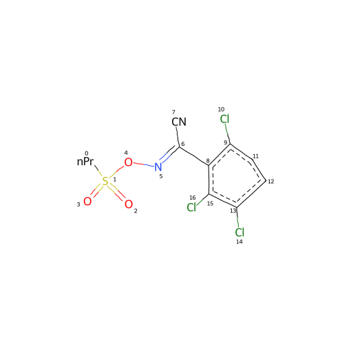 CCCS(=O)(=O)ON=C(C#N)c1c(Cl)ccc(Cl)c1Cl